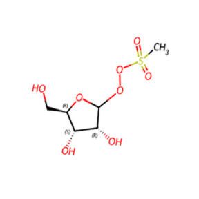 CS(=O)(=O)OOC1O[C@H](CO)[C@@H](O)[C@H]1O